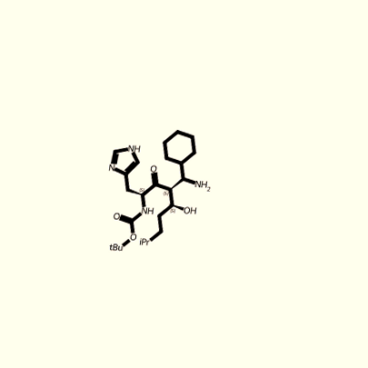 CC(C)CC[C@H](O)[C@@H](C(=O)[C@H](Cc1c[nH]cn1)NC(=O)OC(C)(C)C)C(N)C1CCCCC1